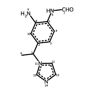 CC(c1ccc(NC=O)c(N)c1)n1ccnc1